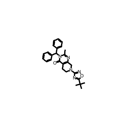 Cc1nc2c(c(=O)n1C(c1ccccc1)c1ccccc1)CCN(c1noc(C(C)(C)C)n1)C2